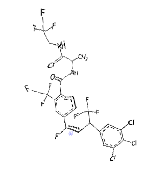 CC(NC(=O)c1ccc(/C(F)=C\C(c2cc(Cl)c(Cl)c(Cl)c2)C(F)(F)F)cc1C(F)(F)F)C(=O)NCC(F)(F)F